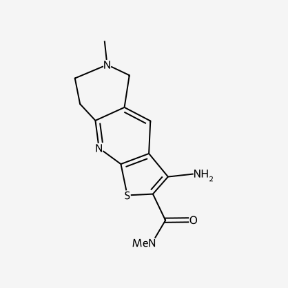 CNC(=O)c1sc2nc3c(cc2c1N)CN(C)CC3